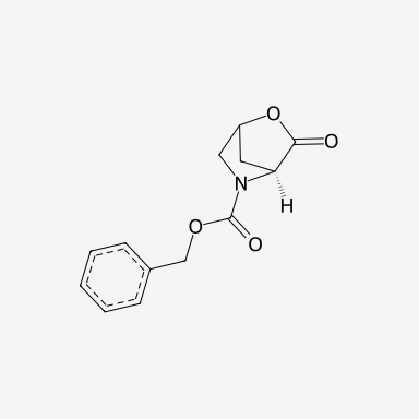 O=C1OC2C[C@@H]1N(C(=O)OCc1ccccc1)C2